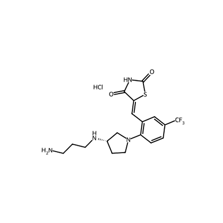 Cl.NCCCN[C@H]1CCN(c2ccc(C(F)(F)F)cc2/C=C2\SC(=O)NC2=O)C1